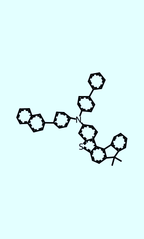 CC1(C)c2ccccc2-c2c1ccc1sc3cc(N(c4ccc(-c5ccccc5)cc4)c4ccc(-c5ccc6ccccc6c5)cc4)ccc3c21